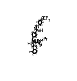 Cc1cccc(C)c1/N=C(/N/N=C/c1ccc(C(=N)/N=C\Nc2ccc(OC(F)(F)F)cc2)cc1)SCC(=O)NCC(C)C